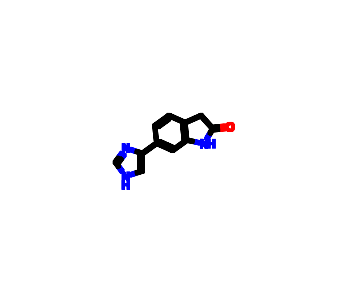 O=C1Cc2ccc(-c3c[nH]cn3)cc2N1